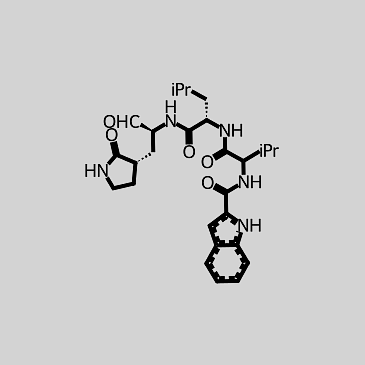 CC(C)C[C@H](NC(=O)C(NC(=O)c1cc2ccccc2[nH]1)C(C)C)C(=O)N[C@H](C=O)C[C@@H]1CCNC1=O